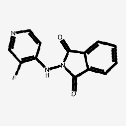 O=C1c2ccccc2C(=O)N1Nc1ccncc1F